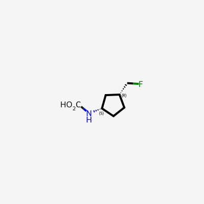 O=C(O)N[C@H]1CC[C@@H](CF)C1